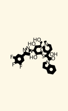 CN1CCC(O)(C(S[C@@H]2O[C@H](CO)[C@H](O)[C@H](n3cc(-c4cc(F)c(F)c(F)c4)nn3)[C@H]2O)C(=O)N2CCc3ccccc32)CC1